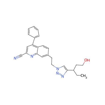 CCC(CCO)c1cn(CCc2ccc3c(-c4ccccc4)cc(C#N)nc3c2)nn1